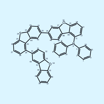 c1ccc(N(c2ccccc2)c2cccc3oc4cc(-c5ccc6sc7cccc(-c8ccc9oc%10ccccc%10c9c8)c7c6c5)ccc4c23)cc1